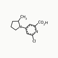 CC1CCCN1c1cc(Cl)nc(C(=O)O)c1